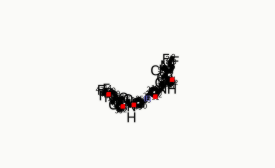 CC(F)(F)c1ccc(C(=O)N2CCC[C@H]2C(=O)Nc2ccc(/C=C/c3ccc(NC(=O)[C@@H]4CCCN4C(=O)c4ccc(C(F)(F)F)nc4Cl)cc3)cc2)c(Cl)n1